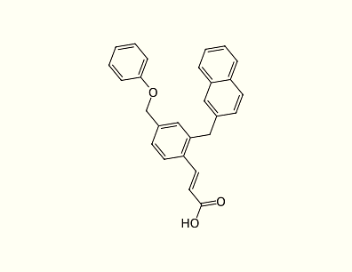 O=C(O)/C=C/c1ccc(COc2ccccc2)cc1Cc1ccc2ccccc2c1